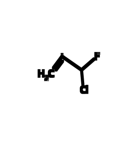 C=[C]C(F)Cl